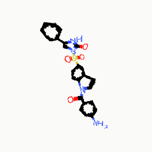 Nc1ccc(C(=O)N2CCc3cc(S(=O)(=O)n4cc(-c5ccccc5)[nH]c4=O)ccc32)cc1